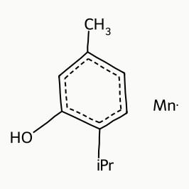 Cc1ccc(C(C)C)c(O)c1.[Mn]